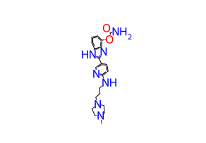 CN1CCN(CCCNc2ccc(-c3nc4c(OC(N)=O)cccc4[nH]3)cn2)CC1